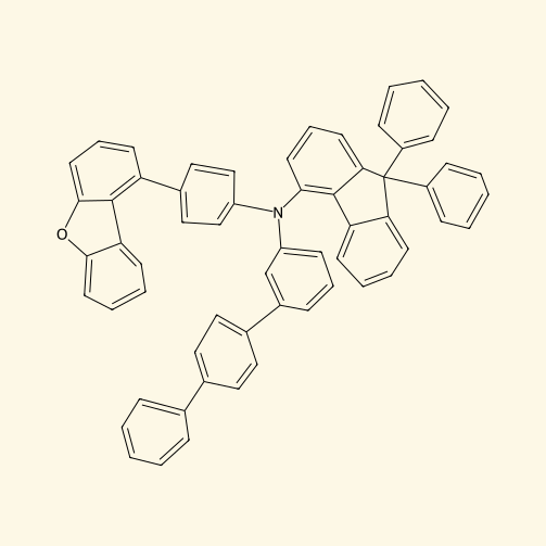 c1ccc(-c2ccc(-c3cccc(N(c4ccc(-c5cccc6oc7ccccc7c56)cc4)c4cccc5c4-c4ccccc4C5(c4ccccc4)c4ccccc4)c3)cc2)cc1